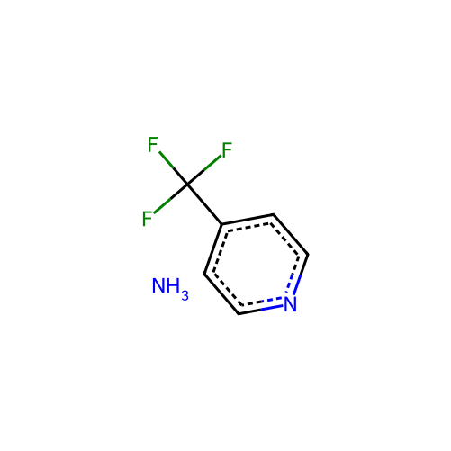 FC(F)(F)c1ccncc1.N